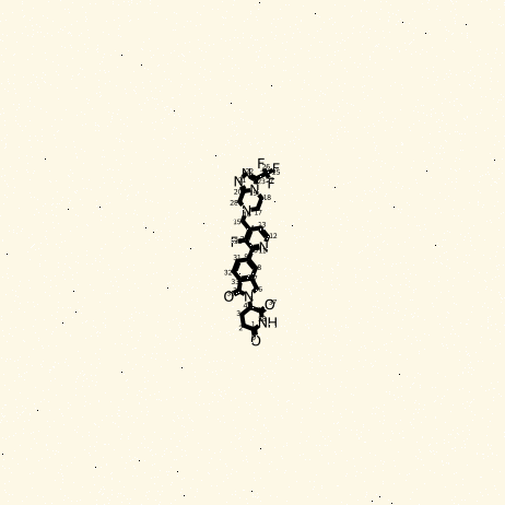 O=C1CCC(N2Cc3cc(-c4nccc(CN5CCn6c(nnc6C(F)(F)F)C5)c4F)ccc3C2=O)C(=O)N1